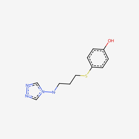 Oc1ccc(SCCC[N]n2cnnc2)cc1